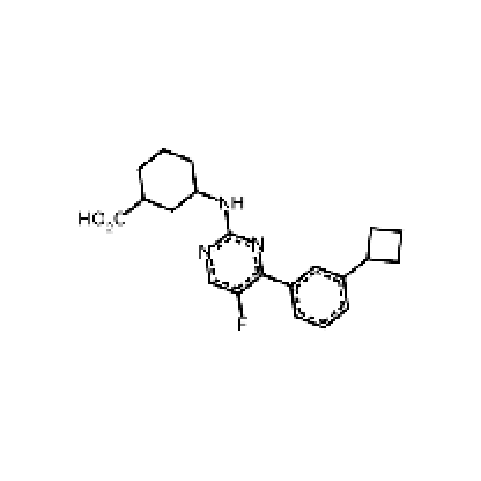 O=C(O)C1CCCC(Nc2ncc(F)c(-c3cccc(C4CCC4)c3)n2)C1